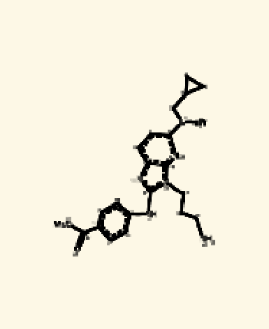 CCCN(CC1CC1)c1ccc2nc(Nc3ccc(C(=O)OC)cc3)n(CCCN)c2n1